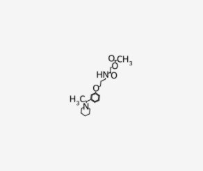 CC(=O)OCC(=O)NCCCOc1cccc(C(C)N2CCCCC2)c1